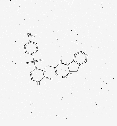 Cc1ccc(S(=O)(=O)N2C=CNC(=O)[C@H]2CC(=O)N[C@H]2c3ccccc3C[C@H]2O)cc1